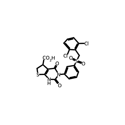 O=C(O)C1CSc2[nH]c(=O)n(-c3cccc(S(=O)(=O)Cc4c(Cl)cccc4Cl)c3)c(=O)c21